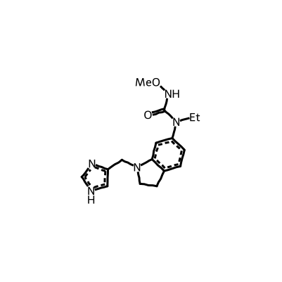 CCN(C(=O)NOC)c1ccc2c(c1)N(Cc1c[nH]cn1)CC2